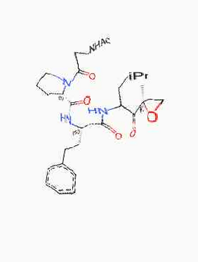 CC(=O)NCC(=O)N1CCC[C@H]1C(=O)N[C@@H](CCc1ccccc1)C(=O)NC(CC(C)C)C(=O)[C@@]1(C)CO1